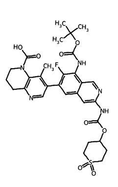 Cc1c(-c2cc3cc(NC(=O)OC4CCS(=O)(=O)CC4)ncc3c(NC(=O)OC(C)(C)C)c2F)cnc2c1N(C(=O)O)CCC2